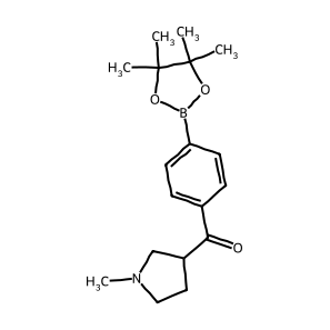 CN1CCC(C(=O)c2ccc(B3OC(C)(C)C(C)(C)O3)cc2)C1